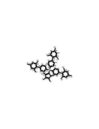 CC1=C(C)C(C)C([Si](c2ccc(-c3c(C)cc(C)cc3C)cc2)(c2ccc(-c3c(C)cc(C)cc3C)cc2)c2ccc(-c3c(C)cc(C)cc3C)cc2)=C1C